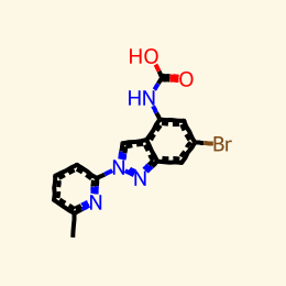 Cc1cccc(-n2cc3c(NC(=O)O)cc(Br)cc3n2)n1